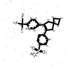 CS(=O)(=O)c1ccc(C2=C(c3ccc(C(F)(F)F)nc3)CC3(CCC3)C2)cc1